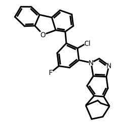 Fc1cc(-c2cccc3c2oc2ccccc23)c(Cl)c(-n2cnc3cc4c(cc32)C2CCC4CC2)c1